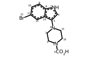 O=C(O)N1CCN(c2c[nH]c3ccc(Br)cc23)CC1